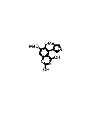 COc1cc2nc(O)nc(O)c2c(-c2ccsc2)c1OC